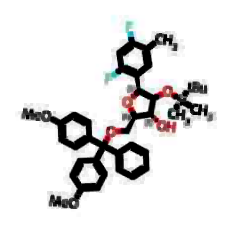 COc1ccc(C(OC[C@H]2O[C@@H](c3cc(C)c(F)cc3F)C(O[Si](C)(C)C(C)(C)C)[C@H]2O)(c2ccccc2)c2ccc(OC)cc2)cc1